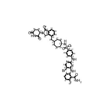 NC(=O)c1c(F)cccc1Nc1nc(Nc2ccc(S(=O)(=O)N[C@@H]3CCCC(Cc4cccc5c4CN(C4CCC(=O)NC4=O)C5=O)CC3)cc2)ncc1Br